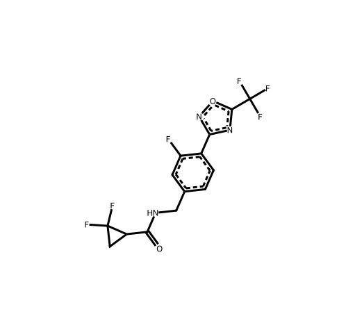 O=C(NCc1ccc(-c2noc(C(F)(F)F)n2)c(F)c1)C1CC1(F)F